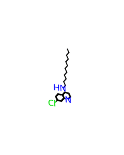 CCCCCCCCCCCCNc1ccnc2cc(Cl)ccc12